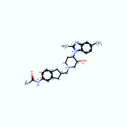 Cc1ccc2c(c1)nc(C)n2C1CCN(CC2Cc3ccc(NC(=O)C(C)C)cc3C2)CC1O